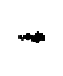 NCCS(=O)(=O)N1CCC(c2csc(Nc3ncc(Sc4ccnc5ccsc45)cc3Oc3ccc(F)cc3)n2)CC1